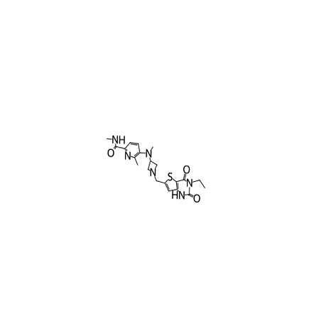 CCn1c(=O)[nH]c2cc(CN3CC(N(C)c4ccc(C(=O)NC)nc4C)C3)sc2c1=O